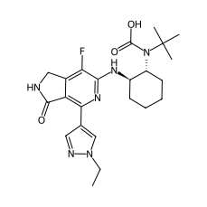 CCn1cc(-c2nc(N[C@@H]3CCCC[C@H]3N(C(=O)O)C(C)(C)C)c(F)c3c2C(=O)NC3)cn1